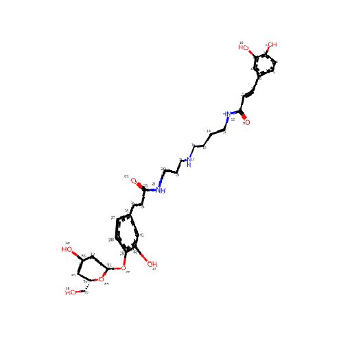 O=C(/C=C/c1ccc(O)c(O)c1)NCCCCNCCCNC(=O)CCc1ccc(OC2CC(O)C[C@@H](CO)O2)c(O)c1